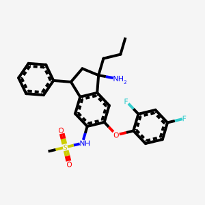 CCCC1(N)CC(c2ccccc2)c2cc(NS(C)(=O)=O)c(Oc3ccc(F)cc3F)cc21